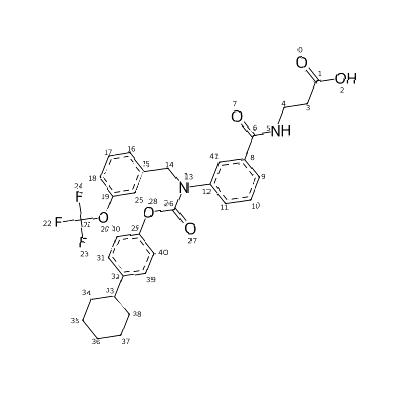 O=C(O)CCNC(=O)c1cccc(N(Cc2cccc(OC(F)(F)F)c2)C(=O)Oc2ccc(C3CCCCC3)cc2)c1